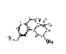 CC(C)(C)Cc1ccc(CC#N)c(C2CC(C(C)(C)C)CC(C)(C)O2)c1